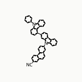 N#Cc1ccc2c(ccc3cc(-n4c5ccccc5c5ccc(-c6cccc7c6c6ccccc6n7-c6ccccc6)cc54)ccc32)c1